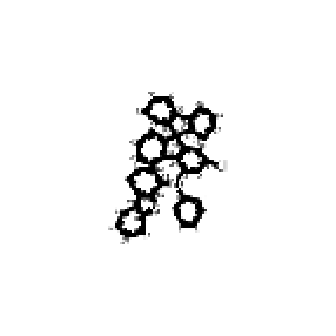 Clc1cc(N(c2ccccc2)c2cccc3c2sc2ccccc23)c2c(c1)C1(c3ccccc3-c3ccccc31)c1ccccc1-2